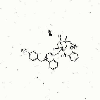 C=C[C@H]1C[N@+]2(Cc3ccccc3C#N)CC[C@H]1C[C@H]2[C@H](O)c1cc[n+](Cc2ccc(C(F)(F)F)cc2)c2ccccc12.[Br-].[Br-]